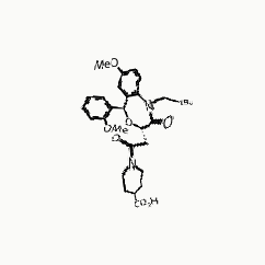 COc1ccc2c(c1)[C@H](c1ccccc1OC)O[C@@H](CC(=O)N1CCC(C(=O)O)CC1)C(=O)N2CC(C)(C)C